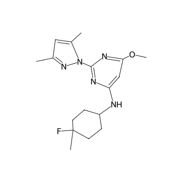 COc1cc(NC2CCC(C)(F)CC2)nc(-n2nc(C)cc2C)n1